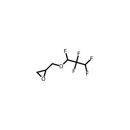 FC(F)C(F)(F)C(F)OCC1CO1